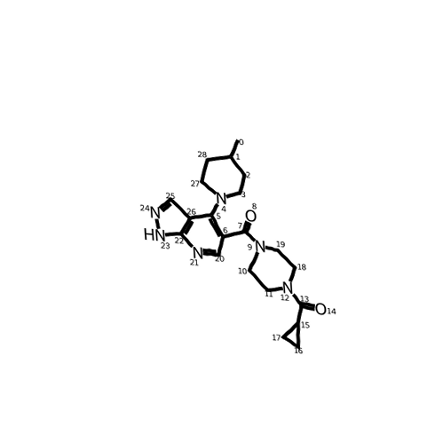 CC1CCN(c2c(C(=O)N3CCN(C(=O)C4CC4)CC3)cnc3[nH]ncc23)CC1